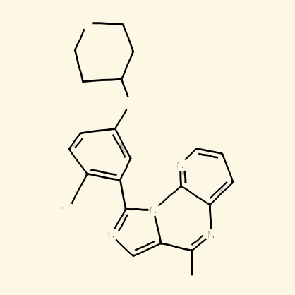 Cc1nc2cccnc2n2c(-c3cc(OC4CCOCC4)ccc3Cl)ncc12